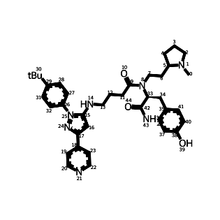 CN1CCCC1CCN(C(=O)CCCNc1cc(-c2ccncc2)nn1-c1ccc(C(C)(C)C)cc1)[C@@H](Cc1ccc(O)cc1)C(N)=O